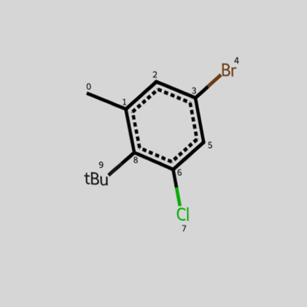 Cc1cc(Br)cc(Cl)c1C(C)(C)C